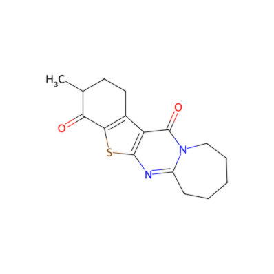 CC1CCc2c(sc3nc4n(c(=O)c23)CCCCC4)C1=O